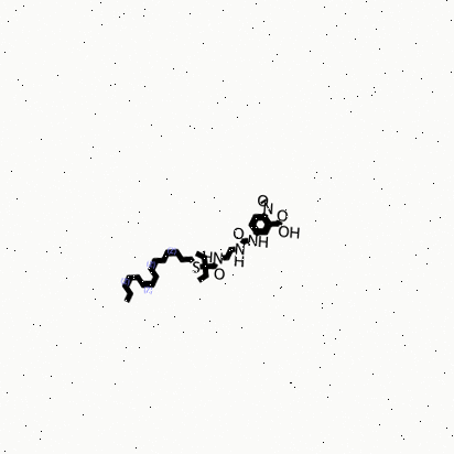 CC/C=C\C/C=C\C/C=C\C/C=C\CCSC(CC)(CC)C(=O)NCCNC(=O)Nc1ccc(N=O)c(C(=O)O)c1